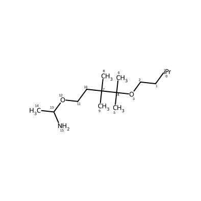 CC(C)CCOC(C)(C)C(C)(C)CCOC(C)N